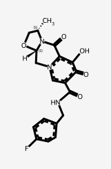 C[C@H]1CO[C@H]2Cn3cc(C(=O)NCc4ccc(F)cc4)c(=O)c(O)c3C(=O)N21